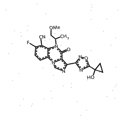 COCC(C)n1c(=O)c2c(-c3noc(C4(O)CC4)n3)ncn2c2ccc(F)c(C#N)c21